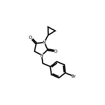 O=C1CN(Cc2ccc(Br)cc2)C(=O)N1C1CC1